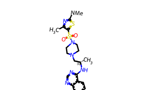 CNc1nc(C)c(S(=O)(=O)N2CCN(C[C@H](C)Nc3ncnc4c(C(F)(F)F)cccc34)CC2)s1